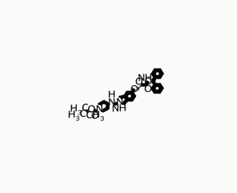 CC(C)(C)OC(=O)N1CCC(NC(=N)N2Cc3ccc(OC[C@H](ON)C(=O)OC(c4ccccc4)c4ccccc4)cc3C2)CC1